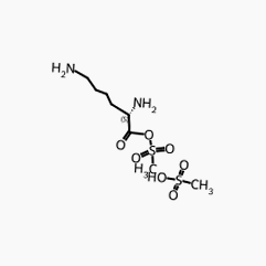 CS(=O)(=O)O.CS(=O)(=O)OC(=O)[C@@H](N)CCCCN